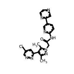 Cc1nn(CC(=O)Nc2ccc(-c3cnccn3)cn2)c(C)c1-c1cc(Cl)cnn1